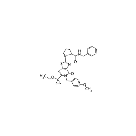 CCOC1(c2cc3sc(N4CCCC4C(=O)NCc4ccccc4)nc3c(=O)n2Cc2ccc(OC)cc2)CC1